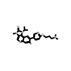 CC(C)n1c(=O)n(C)c2cnc3cc(F)c(-c4ccc(OCCCN(C)C)nc4)cc3c21